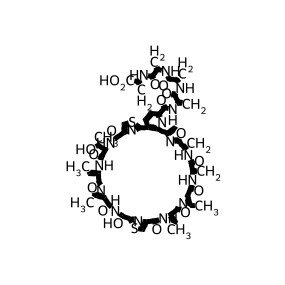 C=C(NC(=O)C(=C)NC(=O)C(=C)NC(=O)C(=C)NC(=O)c1ccc2c(n1)-c1coc(n1)C(=C)NC(=O)C(=C)NC(=O)c1nc(oc1C)/C(=C/C)NC(=O)c1csc(n1)C(O)NC(=O)c1nc(oc1C)/C(=C/C)NC(=O)[C@H]([C@@H](C)O)NC(=O)c1csc-2n1)C(=O)O